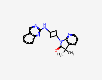 CC1(C)C(=O)N(C2CC(Nc3ncc4ccccc4n3)C2)c2ncccc21